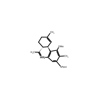 C=C(C)[C@@H]1CCC(C)=C[C@H]1c1c(OC)cc(CCCCC)c(C)c1OC